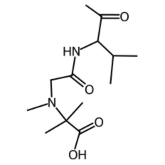 CC(=O)C(NC(=O)CN(C)C(C)(C)C(=O)O)C(C)C